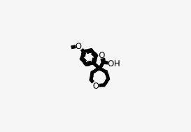 COc1ccc(C2(C(=O)O)CCCOCC2)cc1